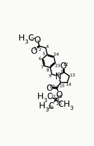 COC(=O)Cc1ccc(CN2C(=O)CCC2C(=O)OC(C)(C)C)cc1